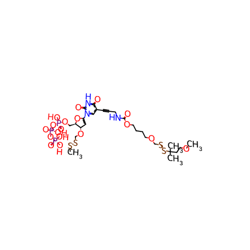 COCCC(C)(C)SSCOCCCCOC(=O)NCC#Cc1cn(C2=C[C@H](OCSSC)[C@@H](COP(=O)(O)OP(=O)(O)OP(=O)(O)O)O2)c(=O)[nH]c1=O